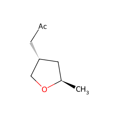 CC(=O)C[C@H]1CO[C@H](C)C1